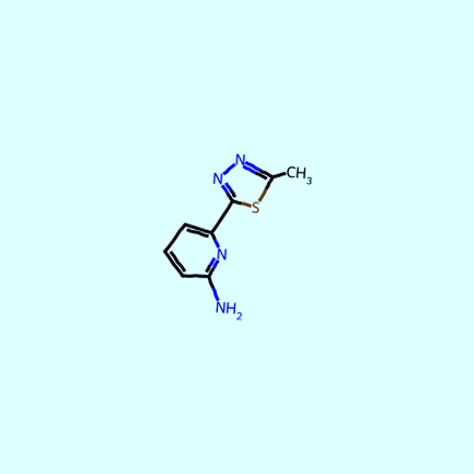 Cc1nnc(-c2cccc(N)n2)s1